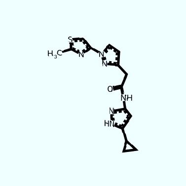 Cc1nc(-n2ccc(CC(=O)Nc3cc(C4CC4)[nH]n3)n2)cs1